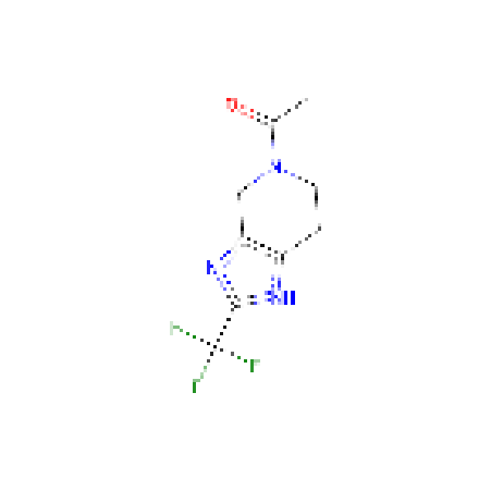 CC(=O)N1CCc2[nH]c(C(F)(F)F)nc2C1